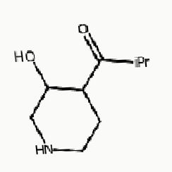 CC(C)C(=O)C1CCNCC1O